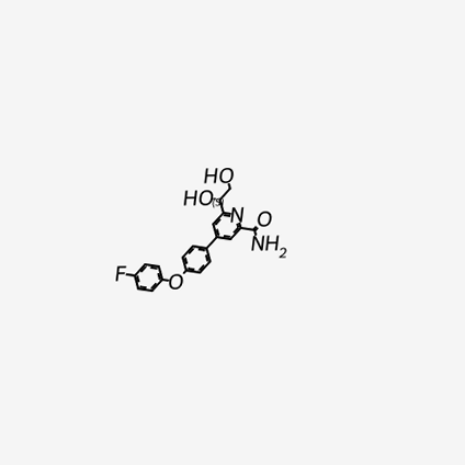 NC(=O)c1cc(-c2ccc(Oc3ccc(F)cc3)cc2)cc([C@H](O)CO)n1